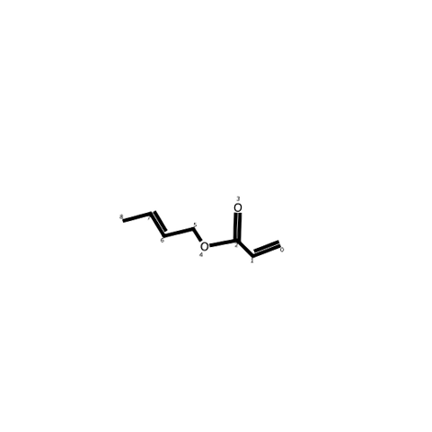 C=CC(=O)OC/C=C/C